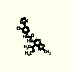 COC(C)c1c(NC(=O)Nc2ccc(-n3nccn3)c(Cl)c2)cnc2sc(C)nc12